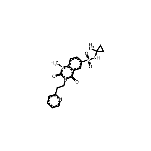 Cn1c(=O)n(CCc2ccccn2)c(=O)c2cc(S(=O)(=O)NC3(C)CC3)ccc21